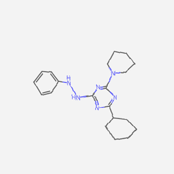 c1ccc(NNc2nc(C3CCCCC3)nc(N3CCCCC3)n2)cc1